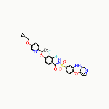 CC[C@@H](Oc1ccc(C(=O)NS(=O)(=O)c2ccc(OC34CCN(CC3)C4)c(N)c2)c(F)c1F)c1ccc(OCC2CC2)cn1